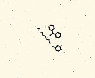 COc1ccc(CNC(=O)C(CCCCNC(=N)N)NC(=O)C(c2ccccc2)c2ccccc2)cc1